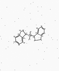 C[Si](C)(C1CCc2ccccc21)C1CCc2ccccc21